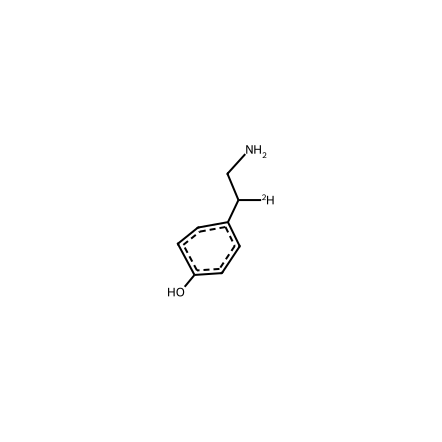 [2H]C(CN)c1ccc(O)cc1